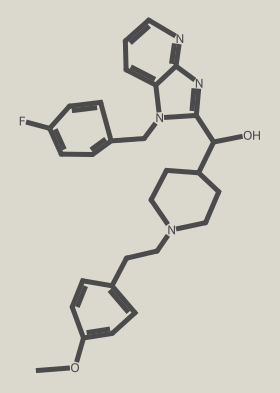 COc1ccc(CCN2CCC(C(O)c3nc4ncccc4n3Cc3ccc(F)cc3)CC2)cc1